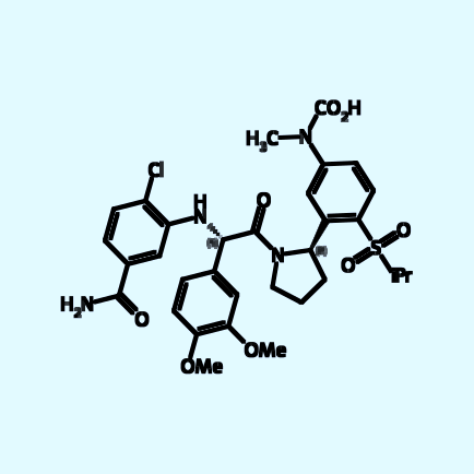 COc1ccc([C@H](Nc2cc(C(N)=O)ccc2Cl)C(=O)N2CCC[C@@H]2c2cc(N(C)C(=O)O)ccc2S(=O)(=O)C(C)C)cc1OC